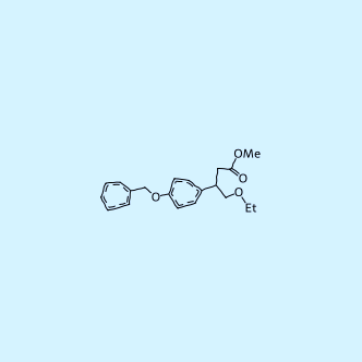 CCOCC(CC(=O)OC)c1ccc(OCc2ccccc2)cc1